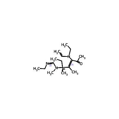 C=CN(CC)/C(C(C)=O)=C(/C)[C@@](C)(CC)N(C)/C=N\CC